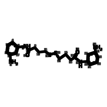 Nc1cccc(NC(=O)CCCSSCCCC(=O)Nc2cccc(N)c2)c1